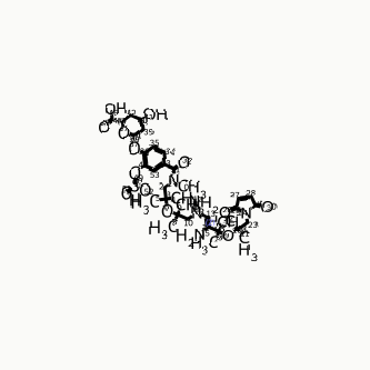 CN(CC(C)(C)OC(C)(C)CN(N)/C=C(\N)C(C)(C)OC(C)(C)CN1C(=O)C=CC1=O)C(=O)c1ccc(O[C@H]2C[C@@H](O)C[C@@H](C(=O)O)O2)c(O[SH](=O)=O)c1